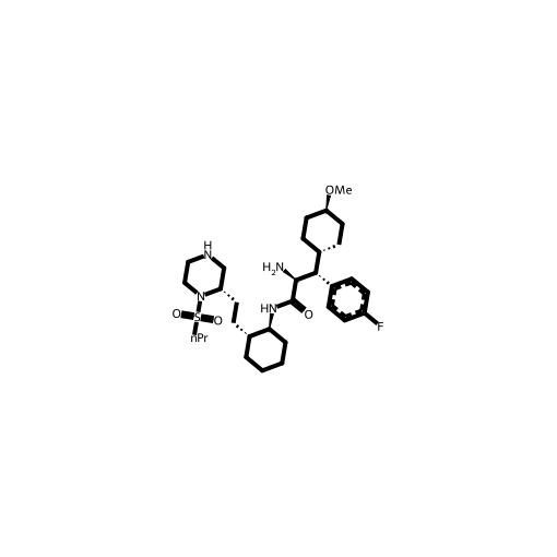 CCCS(=O)(=O)N1CCNC[C@@H]1CC[C@H]1CCCC[C@@H]1NC(=O)[C@@H](N)[C@@H](c1ccc(F)cc1)[C@H]1CC[C@H](OC)CC1